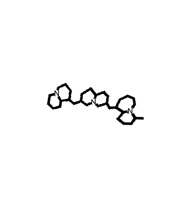 CC1CCCC2C(CC3CCC4CCC(CC5CCCN6CCCCC56)CN4C3)CCCCN12